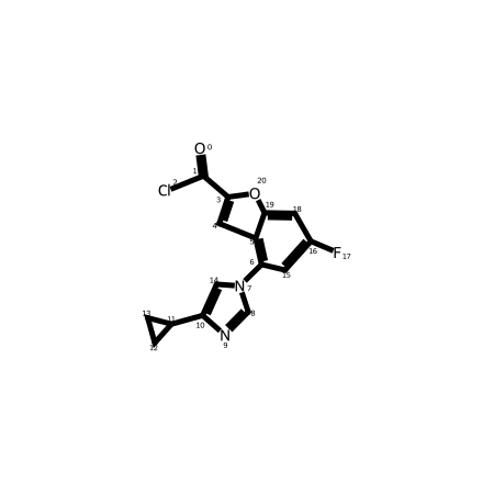 O=C(Cl)c1cc2c(-n3cnc(C4CC4)c3)cc(F)cc2o1